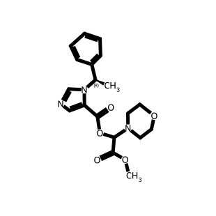 COC(=O)C(OC(=O)c1cncn1[C@H](C)c1ccccc1)N1CCOCC1